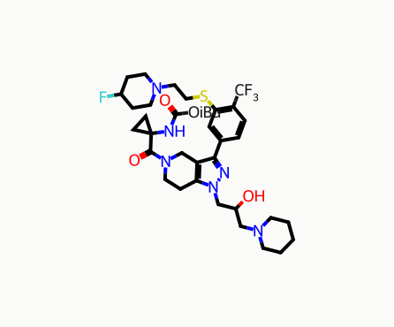 CC(C)COC(=O)NC1(C(=O)N2CCc3c(c(-c4ccc(C(F)(F)F)c(SCCN5CCC(F)CC5)c4)nn3CC(O)CN3CCCCC3)C2)CC1